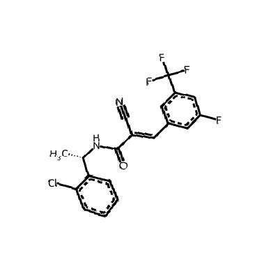 C[C@H](NC(=O)/C(C#N)=C/c1cc(F)cc(C(F)(F)F)c1)c1ccccc1Cl